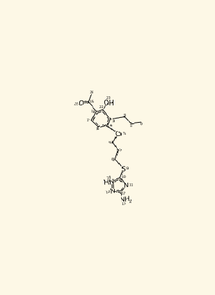 CCCc1c(OCCCSc2nc(N)n[nH]2)ccc(C(C)=O)c1O